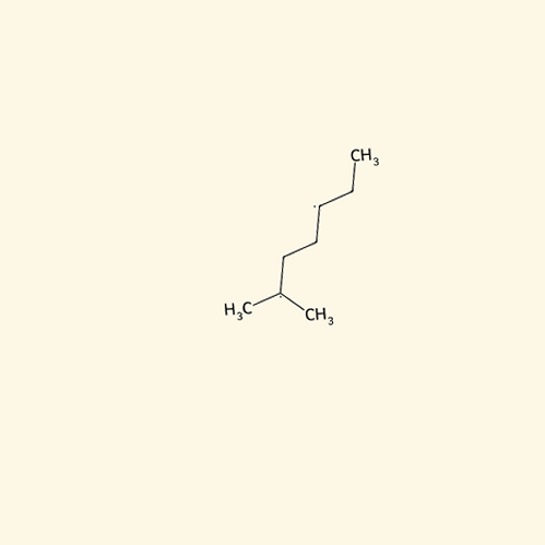 CC[CH]CC[C](C)C